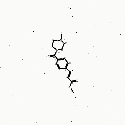 COC(=O)C=Cc1ccc(C(=O)N2CCN(C)CC2)cc1